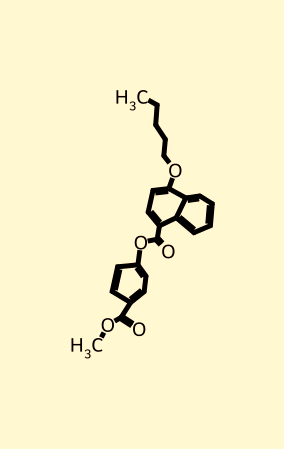 CCCCCOc1ccc(C(=O)Oc2ccc(C(=O)OC)cc2)c2ccccc12